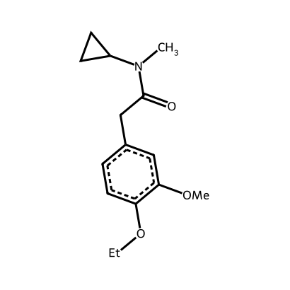 CCOc1ccc(CC(=O)N(C)C2CC2)cc1OC